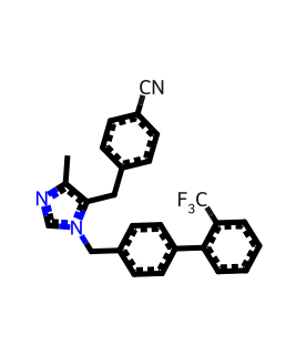 Cc1ncn(Cc2ccc(-c3ccccc3C(F)(F)F)cc2)c1Cc1ccc(C#N)cc1